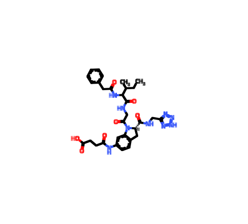 CCC(C)C(NC(=O)Cc1ccccc1)C(=O)NCC(=O)N1c2cc(NC(=O)CCC(=O)O)ccc2C[C@H]1C(=O)NCc1nn[nH]n1